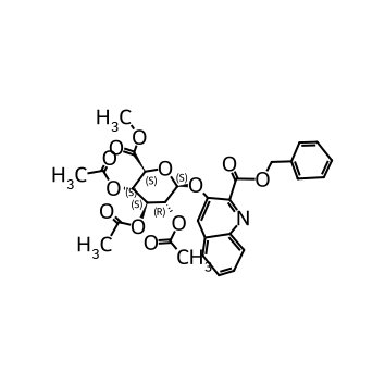 COC(=O)[C@H]1O[C@@H](Oc2cc3ccccc3nc2C(=O)OCc2ccccc2)[C@H](OC(C)=O)[C@@H](OC(C)=O)[C@@H]1OC(C)=O